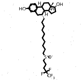 C[C@]12CC[C@@H]3c4ccc(O)cc4C[C@@H](CCCCCCCCCC[S+]([O-])CCCC(F)(F)C(F)(F)F)[C@H]3[C@@H]1CC[C@@H]2O